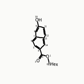 CCCCCCOC(=O)c1ccc2cc(O)ccc2c1